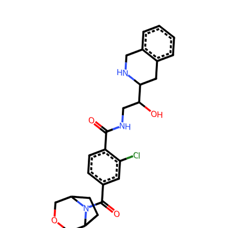 O=C(NCC(O)C1Cc2ccccc2CN1)c1ccc(C(=O)N2C3CCC2COC3)cc1Cl